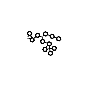 c1ccc(-c2ccc(-c3cccc(N(c4cccc(-c5cccc6c5-c5ccccc5C6(c5ccccc5)c5ccccc5)c4)c4cccc(-c5cccc6oc7ccccc7c56)c4)c3)cc2)cc1